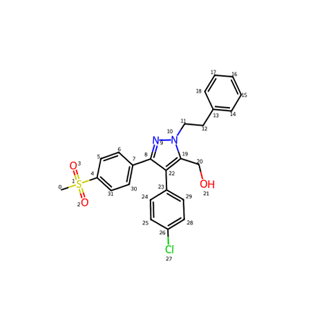 CS(=O)(=O)c1ccc(-c2nn(CCc3ccccc3)c(CO)c2-c2ccc(Cl)cc2)cc1